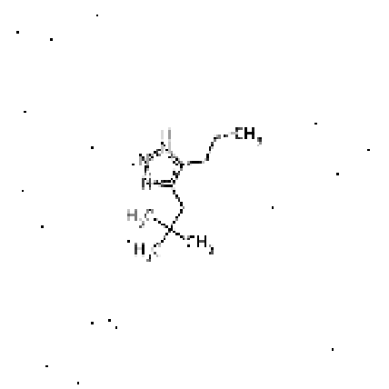 CCCc1[nH]nnc1CC(C)(C)C